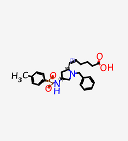 Cc1ccc(S(=O)(=O)N[C@@H]2C[C@@H](/C=C\CCCC(=O)O)N(Cc3ccccc3)C2)cc1